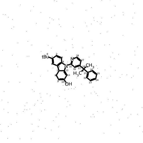 CC(C)(C)c1ccc2c(c1)C1CC=C(O)C=C1N2c1cc(C(C)(C)c2ccccc2)ccn1